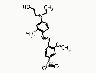 CCN(CCO)c1ccc(N=Nc2ccc([N+](=O)[O-])cc2OC)c(C)c1